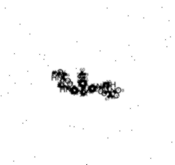 COC(=O)N[C@H](C(=O)N1CCC[C@H]1C(=O)Nc1ccc([C@H]2CC[C@@H](c3ccc(NC(=O)[C@@H]4CCCN4C(=O)[C@@H](NC(=O)OC)C(C)C)cc3)N2c2ccc([Si](C)(C)C(C)(C)C)cc2)cc1)C(C)C